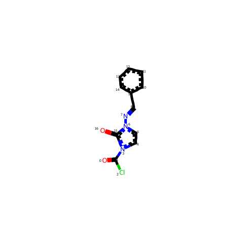 O=C(Cl)n1ccn(N=Cc2ccccc2)c1=O